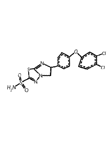 NS(=O)(=O)C1=NN2CC(c3ccc(Oc4ccc(Cl)c(Cl)c4)cc3)N=C2S1